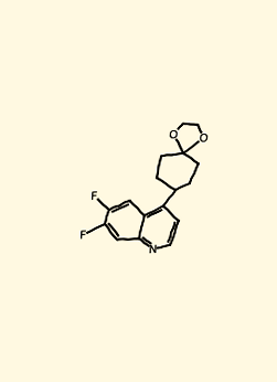 Fc1cc2nccc(C3CCC4(CC3)OCCO4)c2cc1F